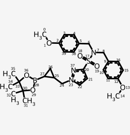 COc1ccc(CN(Cc2ccc(OC)cc2)S(=O)(=O)c2ccn(CC3CC3B3OC(C)(C)C(C)(C)O3)n2)cc1